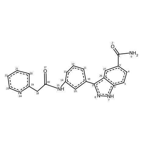 NC(=O)c1ccc2[nH]nc(-c3cccc(NC(=O)Cc4ccccn4)c3)c2c1